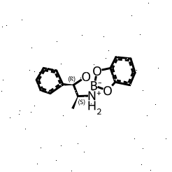 C[C@@H]1[NH2+][B-]2(Oc3ccccc3O2)O[C@@H]1c1ccccc1